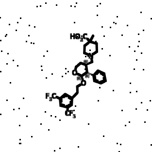 CC1(C(=O)O)CCN(C[C@@H]2CCO[C@H](OCCc3cc(C(F)(F)F)cc(C(F)(F)F)c3)[C@H]2c2ccccc2)CC1